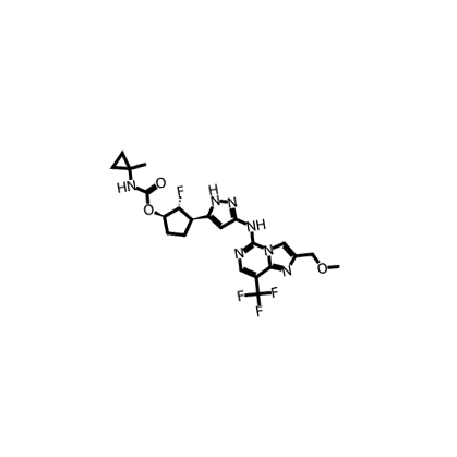 COCc1cn2c(Nc3cc([C@H]4CC[C@@H](OC(=O)NC5(C)CC5)[C@@H]4F)[nH]n3)ncc(C(F)(F)F)c2n1